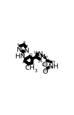 Cc1cc(Nc2ncccn2)cc(-c2cnn(C[C@H]3CNC(=O)O3)c2)c1